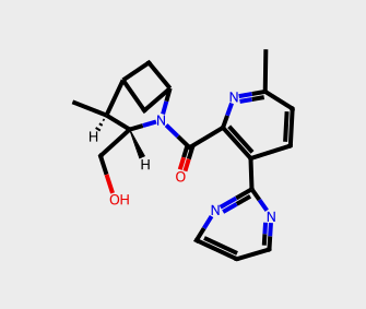 Cc1ccc(-c2ncccn2)c(C(=O)N2C3CC(C3)[C@H](C)[C@H]2CO)n1